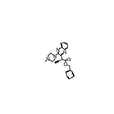 C#CC(C(=O)OCc1ccccc1)c1nc2ccccc2nc1N1CCN(C)CC1